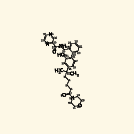 CC(C)(CCCCC(=O)N1CCOCC1)c1ccc(-c2ccccc2CNC(=O)c2cnccn2)c(O)c1